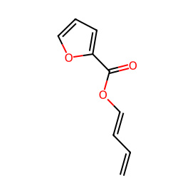 C=CC=COC(=O)c1ccco1